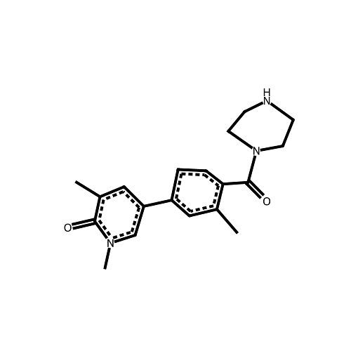 Cc1cc(-c2cc(C)c(=O)n(C)c2)ccc1C(=O)N1CCNCC1